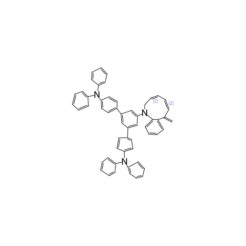 C=C1/C=C\C=C/CN(c2cc(-c3ccc(N(c4ccccc4)c4ccccc4)cc3)cc(-c3ccc(N(c4ccccc4)c4ccccc4)cc3)c2)c2ccccc21